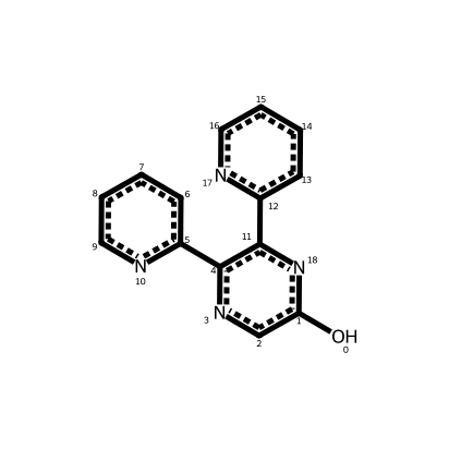 Oc1cnc(-c2ccccn2)c(-c2ccccn2)n1